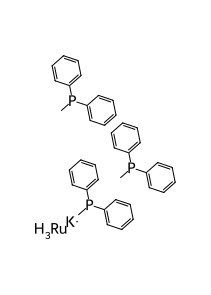 CP(c1ccccc1)c1ccccc1.CP(c1ccccc1)c1ccccc1.CP(c1ccccc1)c1ccccc1.[K].[RuH3]